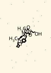 CC(C#Cc1nc2c(c(=O)n(CCCO)c(=O)n2C)n1Cc1ccc(Cl)cc1)OCC1CCC1